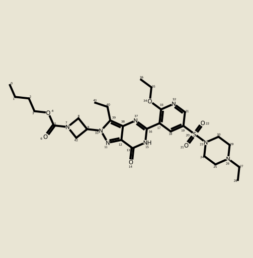 CCCCOC(=O)N1CC(n2nc3c(=O)[nH]c(-c4cc(S(=O)(=O)N5CCN(CC)CC5)cnc4OCC)nc3c2CC)C1